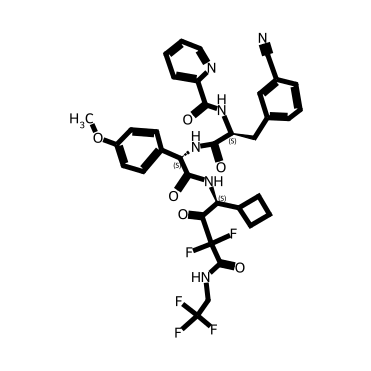 COc1ccc([C@H](NC(=O)[C@H](Cc2cccc(C#N)c2)NC(=O)c2ccccn2)C(=O)N[C@H](C(=O)C(F)(F)C(=O)NCC(F)(F)F)C2CCC2)cc1